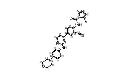 Cc1nnsc1C(=O)Nc1ccc(-c2ccnc(Nc3ccc(N4CCOCC4)cc3)n2)cc1C#N